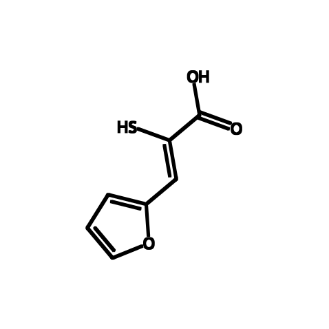 O=C(O)/C(S)=C/c1ccco1